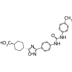 Cc1ccc(NC(=O)Nc2ccc(-c3noc([C@H]4CC[C@H](C(=O)O)CC4)n3)cc2)cc1